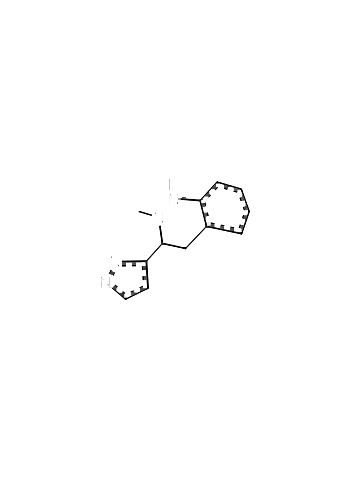 CNC(Cc1ccccc1N)c1cc[nH]n1